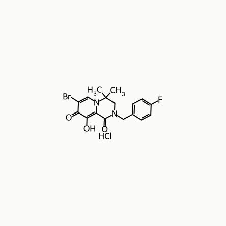 CC1(C)CN(Cc2ccc(F)cc2)C(=O)c2c(O)c(=O)c(Br)cn21.Cl